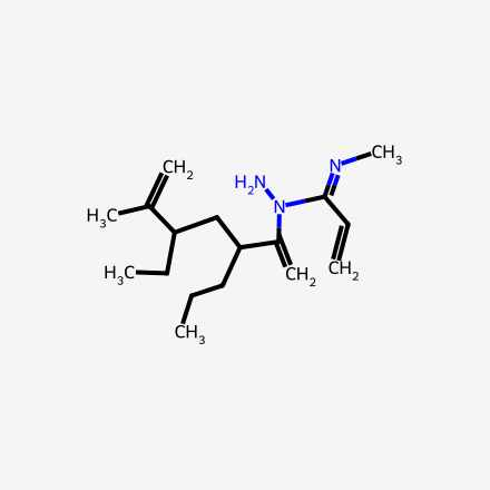 C=C/C(=N\C)N(N)C(=C)C(CCC)CC(CC)C(=C)C